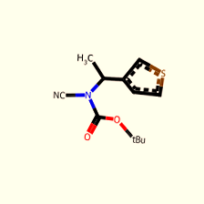 CC(c1ccsc1)N(C#N)C(=O)OC(C)(C)C